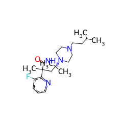 CC(C)CCN1CCN(C(C)(C)CC(C)(C(N)=O)c2ncccc2F)CC1